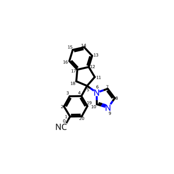 N#Cc1ccc(C2(n3ccnc3)Cc3ccccc3C2)cc1